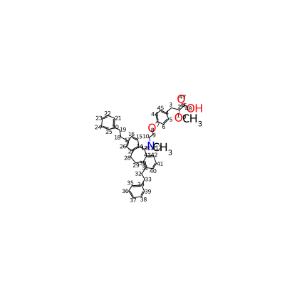 COC(Cc1ccc(OCCN(C)C2c3ccc(CCc4ccccc4)cc3CCc3c(CCc4ccccc4)cccc32)cc1)C(=O)O